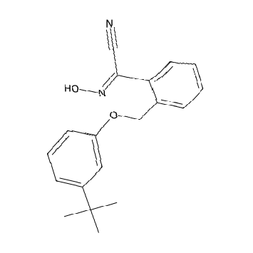 CC(C)(C)c1cccc(OCc2ccccc2C(C#N)=NO)c1